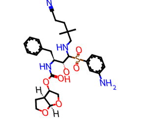 CC(C)(CCC#N)CNC([C@H](O)[C@H](Cc1ccccc1)NC(=O)O[C@H]1CO[C@H]2OCC[C@H]21)S(=O)(=O)c1cccc(N)c1